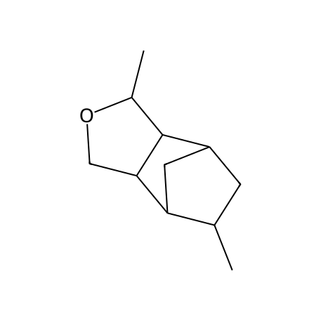 CC1CC2CC1C1COC(C)C21